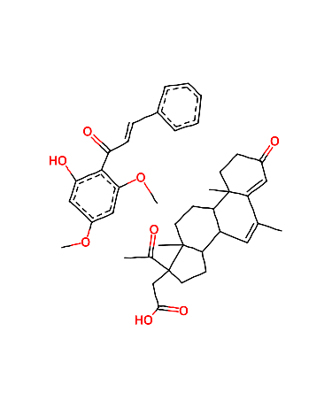 CC(=O)C1(CC(=O)O)CCC2C3C=C(C)C4=CC(=O)CCC4(C)C3CCC21C.COc1cc(O)c(C(=O)C=Cc2ccccc2)c(OC)c1